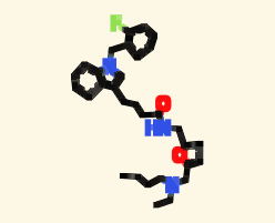 CCCCN(CC)Cc1ccc(CNC(=O)CCCc2cn(Cc3ccccc3F)c3ccccc23)o1